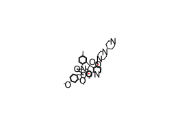 COc1ccc(S(=O)(=O)N2C(=O)C(OC(=O)N3CCN(C4CCN(C)CC4)CC3)(c3cccnc3OC)c3cc(C)ccc32)c(OC)c1